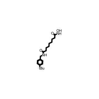 CC(C)(C)c1ccc(CNC(=O)CCCCCCCC(=O)NO)cc1